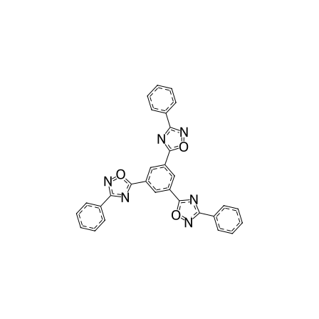 c1ccc(-c2noc(-c3cc(-c4nc(-c5ccccc5)no4)cc(-c4nc(-c5ccccc5)no4)c3)n2)cc1